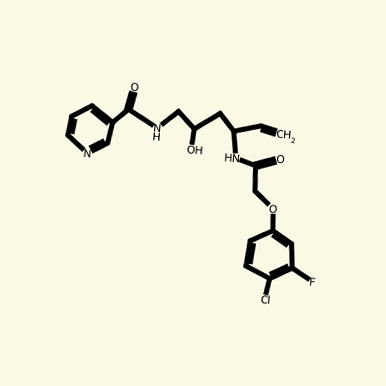 C=CC(CC(O)CNC(=O)c1cccnc1)NC(=O)COc1ccc(Cl)c(F)c1